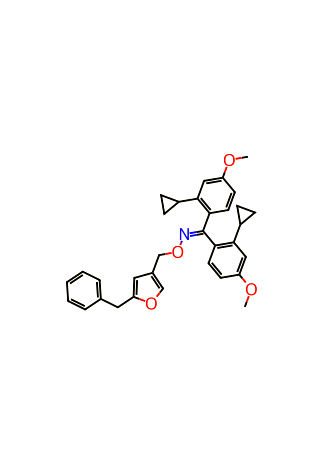 COc1ccc(C(=NOCc2coc(Cc3ccccc3)c2)c2ccc(OC)cc2C2CC2)c(C2CC2)c1